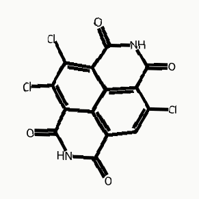 O=C1NC(=O)c2c(Cl)c(Cl)c3c4c(c(Cl)cc1c24)C(=O)NC3=O